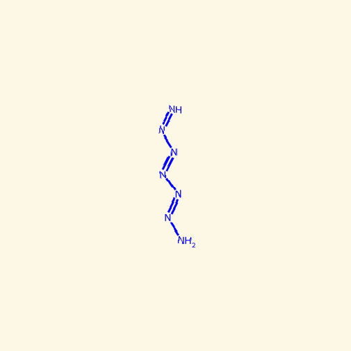 N=N/N=N/N=N/N